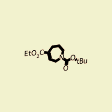 CCOC(=O)C1=CCN(C(=O)OC(C)(C)C)CCC1